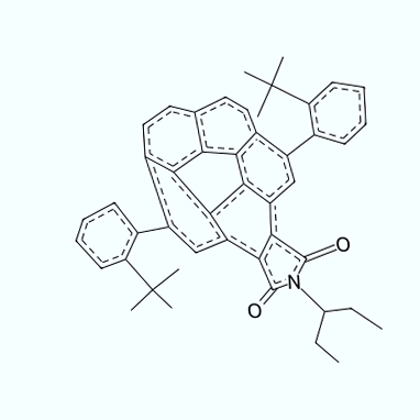 CCC(CC)n1c(=O)c2c3cc(-c4ccccc4C(C)(C)C)c4ccc5ccc6c(-c7ccccc7C(C)(C)C)cc(c2c1=O)c1c6c5c4c31